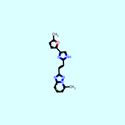 Cc1ccc(-c2c[nH]c(C=Cc3nc4cccc(C)n4n3)n2)o1